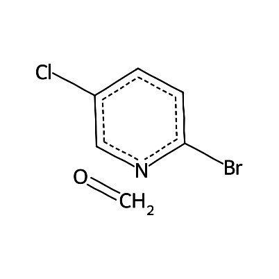 C=O.Clc1ccc(Br)nc1